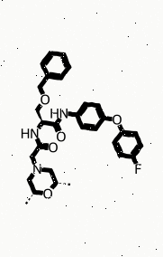 C[C@@H]1CN(CC(=O)N[C@@H](COCc2ccccc2)C(=O)Nc2ccc(Oc3ccc(F)cc3)cc2)C[C@H](C)O1